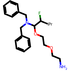 CC(C)C(F)C(OCCOCCN)N(Cc1ccccc1)Cc1ccccc1